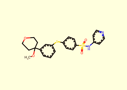 COC1(c2cccc(Sc3ccc(S(=O)(=O)Nc4ccncc4)cc3)c2)CCOCC1